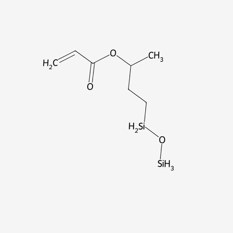 C=CC(=O)OC(C)CC[SiH2]O[SiH3]